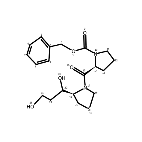 O=C(OCc1ccccc1)N1CCC[C@H]1C(=O)N1CSC[C@H]1C(O)CCO